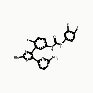 CC(C)(C)c1nc(-c2ccnc(N)n2)c(-c2cc(NC(=O)Nc3ccc(F)c(F)c3)ccc2F)s1